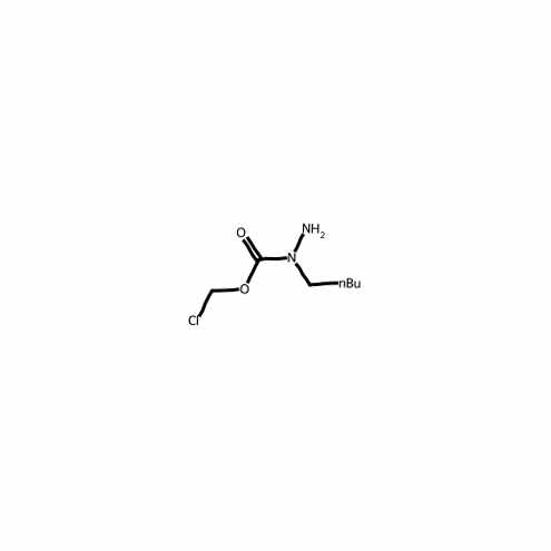 CCCCCN(N)C(=O)OCCl